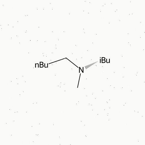 CCCCCN(C)[C@@H](C)CC